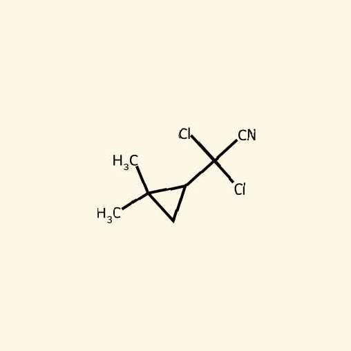 CC1(C)CC1C(Cl)(Cl)C#N